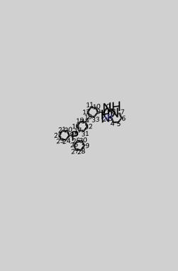 N=C(/N=c1/cccc[nH]1)c1cccc(-c2ccc(P(c3ccccc3)c3ccccc3)cc2)c1